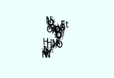 CCOc1cc(-c2ccncc2OC)nc2cc(C(=O)NCCCc3nnc[nH]3)ccc12